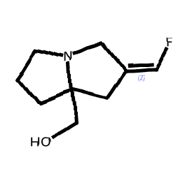 OCC12CCCN1C/C(=C\F)C2